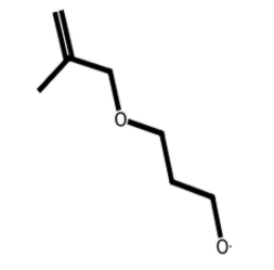 C=C(C)COCCC[O]